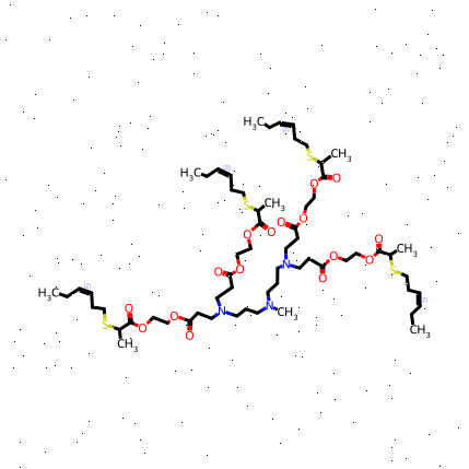 CC/C=C\CCSC(C)C(=O)OCCOC(=O)CCN(CCCN(C)CCCN(CCC(=O)OCCOC(=O)C(C)SCC/C=C\CC)CCC(=O)OCCOC(=O)C(C)SCC/C=C\CC)CCC(=O)OCCOC(=O)C(C)SCC/C=C\CC